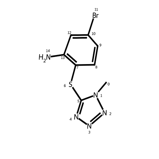 Cn1nnnc1Sc1ccc(Br)cc1N